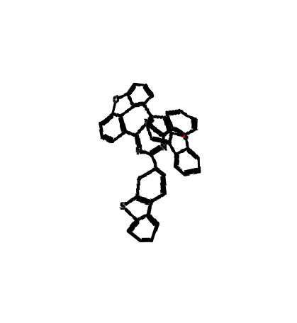 C1=CC(c2nc(-c3ccccc3)nc(-c3cccc4oc5cccc(-c6ccc7c(c6)sc6ccccc67)c5c34)n2)Cc2sc3ccccc3c21